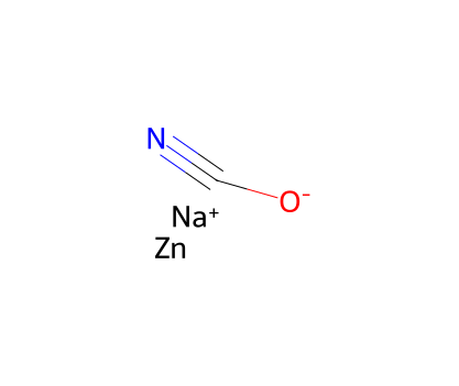 N#C[O-].[Na+].[Zn]